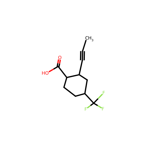 CC#CC1CC(C(F)(F)F)CCC1C(=O)O